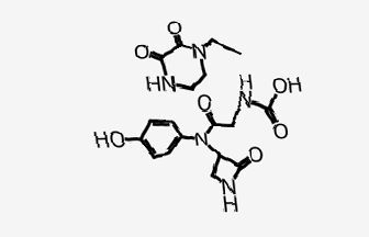 CCN1CCNC(=O)C1=O.O=C(O)NCC(=O)N(c1ccc(O)cc1)C1CNC1=O